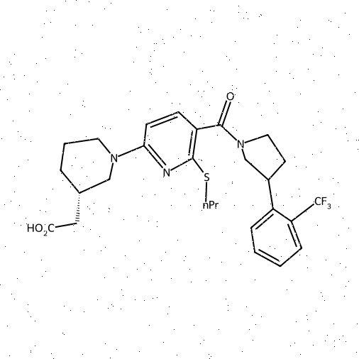 CCCSc1nc(N2CCC[C@@H](CC(=O)O)C2)ccc1C(=O)N1CCC(c2ccccc2C(F)(F)F)C1